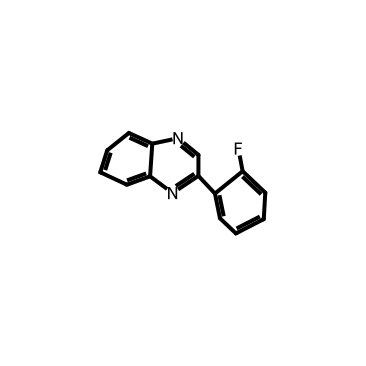 Fc1ccccc1-c1cnc2ccccc2n1